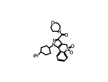 CC(C)C1CCC(n2nc(C(=O)N3CCOCC3)c3c2-c2ccccc2S(=O)(=O)C3)CC1